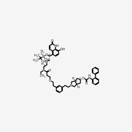 CCN(CCNC[C@H](O[Si](C)(C)C(C)(C)C)c1ccc(O)c2[nH]c(=O)ccc12)C(=O)CCOCCc1cccc(CCN2C[C@H]3C[C@H](OC(=O)Nc4ccccc4-c4ccccc4)C[C@H]3C2)c1